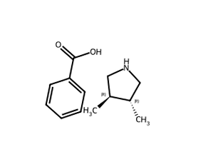 C[C@H]1CNC[C@@H]1C.O=C(O)c1ccccc1